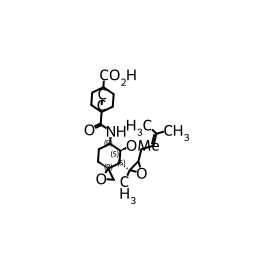 CO[C@H]1[C@H](C2(C)OC2CC=C(C)C)[C@]2(CC[C@H]1NC(=O)C13CCC(C(=O)O)(CC1)CC3)CO2